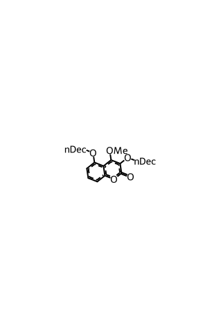 CCCCCCCCCCOc1c(OC)c2c(OCCCCCCCCCC)cccc2oc1=O